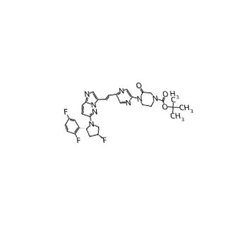 CC(C)(C)OC(=O)N1CCN(c2cnc(/C=C/c3cnc4ccc(N5C[C@@H](F)C[C@@H]5c5cc(F)ccc5F)nn34)cn2)C(=O)C1